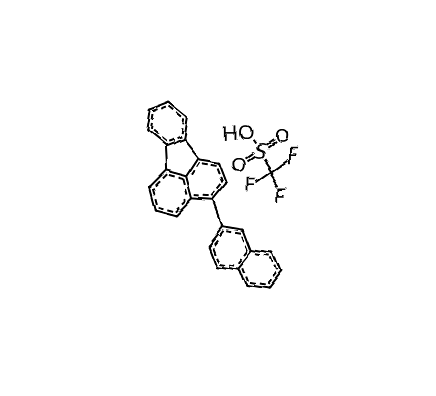 O=S(=O)(O)C(F)(F)F.c1ccc2c(c1)-c1cccc3c(-c4ccc5ccccc5c4)ccc-2c13